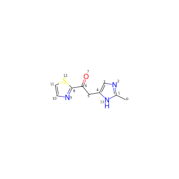 Cc1ncc(CC(=O)c2nccs2)[nH]1